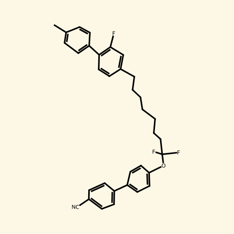 Cc1ccc(-c2ccc(CCCCCCCC(F)(F)Oc3ccc(-c4ccc(C#N)cc4)cc3)cc2F)cc1